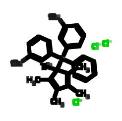 CC1=C(C)[C]([Ti+3])([Si](c2ccccc2)(c2cccc(C(C)(C)C)c2)c2cccc(C(C)(C)C)c2)C(C)=C1C.[Cl-].[Cl-].[Cl-]